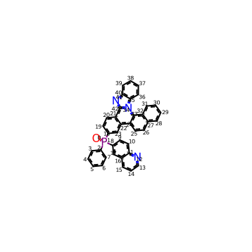 O=P(c1ccccc1)(c1ccc2ncccc2c1)c1ccc2c(c1)c1ccc3ccccc3c1n1c3ccccc3nc21